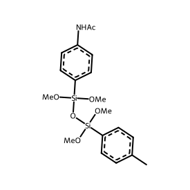 CO[Si](OC)(O[Si](OC)(OC)c1ccc(NC(C)=O)cc1)c1ccc(C)cc1